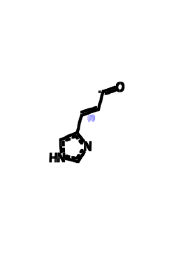 O=[C]/C=C/c1c[nH]cn1